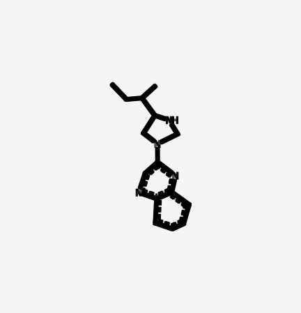 CCC(C)C1CN(c2cnc3ccccc3n2)CN1